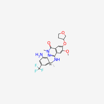 COc1cc2c(N[C@H](C)c3cc(N)cc(C(F)(F)F)c3)nn(C)c(=O)c2cc1OC1CCOC1